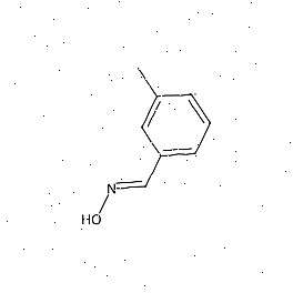 Cc1[c]ccc(C=NO)c1